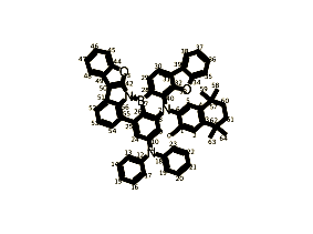 Cc1cc2c(cc1N1c3cc(N(c4ccccc4)c4ccccc4)cc4c3B(c3ccc5c(oc6ccccc65)c31)n1c3oc5ccccc5c3c3cccc-4c31)C(C)(C)CCC2(C)C